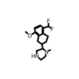 COc1ccc(C(F)F)c2c1CC(C1CNCCN1C)CC2